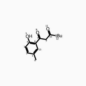 Cc1ccc(O)c(C(=O)CC(=O)C(C)(C)C)c1